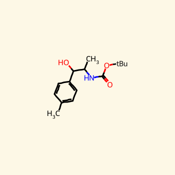 Cc1ccc(C(O)C(C)NC(=O)OC(C)(C)C)cc1